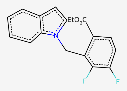 CCOC(=O)c1ccc(F)c(F)c1Cn1ccc2ccccc21